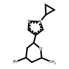 CC1CC(C(C)C)CC(c2cnn(C3CC3)c2)O1